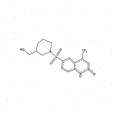 O=c1cc(C(F)(F)F)c2cc(S(=O)(=O)N3CCCC(CO)C3)ccc2[nH]1